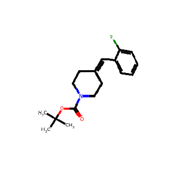 CC(C)(C)OC(=O)N1CCC(=Cc2ccccc2F)CC1